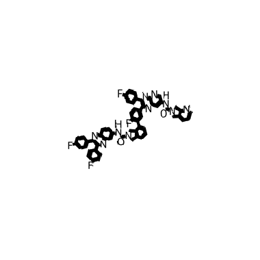 O=C(Nc1cnc2nc(-c3ccc(F)cc3)c(-c3ccc(F)c(-c4cccc5c4CN(C(=O)Nc4ccc6nc(-c7ccc(F)cc7)c(-c7ccc(F)cc7)nc6c4)C5)c3)nc2c1)N1Cc2cccnc2C1